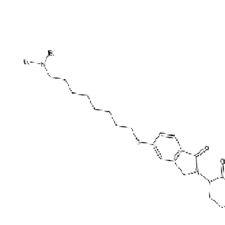 CCN(CC)CCCCCCCCSc1ccc2c(c1)CN(C1CCC(O)NC1=O)C2=O